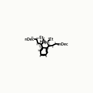 CCCCCCCCCCCCC(NCC)c1ccccc1C(CCCCCCCCCCCC)NCC